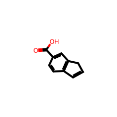 O=C(O)c1ccc2c(c1)CC=C2